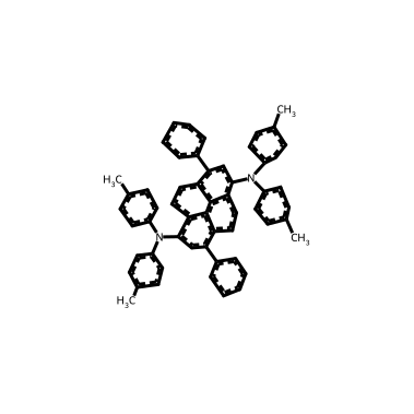 Cc1ccc(N(c2ccc(C)cc2)c2cc(-c3ccccc3)c3ccc4c(N(c5ccc(C)cc5)c5ccc(C)cc5)cc(-c5ccccc5)c5ccc2c3c54)cc1